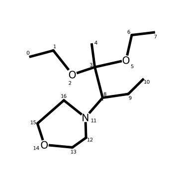 CCOC(C)(OCC)[C](CC)N1CCOCC1